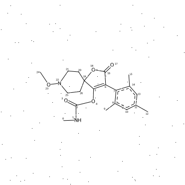 CNC(=O)OC1=C(c2c(C)cc(C)cc2C)C(=O)OC12CCN(OC)CC2